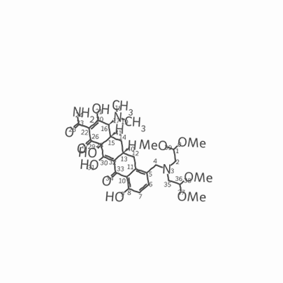 COC(CN(Cc1ccc(O)c2c1C[C@H]1C[C@H]3[C@H](N(C)C)C(O)=C(C(N)=O)C(=O)[C@@]3(O)C(O)=C1C2=O)CC(OC)OC)OC